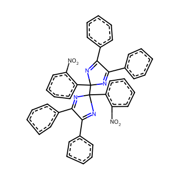 O=[N+]([O-])c1ccccc1C1(C2(c3ccccc3[N+](=O)[O-])N=C(c3ccccc3)C(c3ccccc3)=N2)N=C(c2ccccc2)C(c2ccccc2)=N1